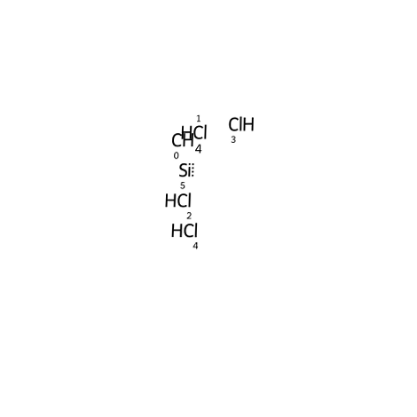 C.Cl.Cl.Cl.Cl.[Si]